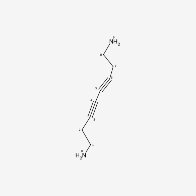 NCCC#CC#CCCN